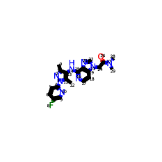 Cc1nn(-c2ccc(F)cn2)c(C)c1Nc1nccc2c1ncn2CC(=O)N(C)C